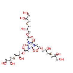 O=C(Cn1c(=O)n(CC(=O)OCC(O)CSCC(O)CO)c(=O)n(CC(=O)OCC(O)CSCC(O)CO)c1=O)OCC(O)CSCC(O)CO